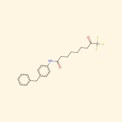 O=C(CCCCCCC(=O)C(F)(F)F)Nc1ccc(Cc2ccccc2)cc1